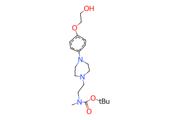 CN(CCN1CCN(c2ccc(OCCO)cc2)CC1)C(=O)OC(C)(C)C